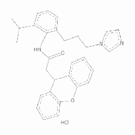 CC(C)c1cccc(CCCn2ccnc2)c1NC(=O)CC1c2ccccc2Oc2ccccc21.Cl